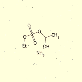 CCOS(=O)(=O)OC(C)O.N